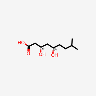 CC(C)CC[C@@H](O)C[C@@H](O)CC(=O)O